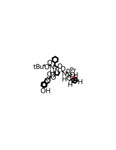 CCC[C@H](NC(=O)[C@@H]1C[C@@H](OC(=O)N2Cc3ccc(O)cc3C2)CN1C(=O)[C@@H](NC(=O)OCC(C)(C)C)C1CCCCC1)B1O[C@@H]2C[C@@H]3C[C@@H](C3(C)C)[C@]2(C)O1